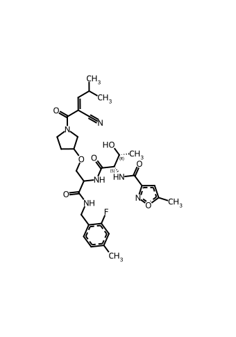 Cc1ccc(CNC(=O)C(COC2CCN(C(=O)C(C#N)=CC(C)C)C2)NC(=O)[C@@H](NC(=O)c2cc(C)on2)[C@@H](C)O)c(F)c1